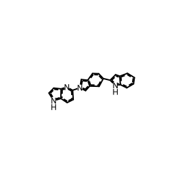 c1ccc2[nH]c(-c3ccc4cn(-c5ccc6[nH]ccc6n5)cc4c3)cc2c1